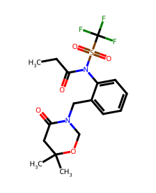 CCC(=O)N(c1ccccc1CN1COC(C)(C)CC1=O)S(=O)(=O)C(F)(F)F